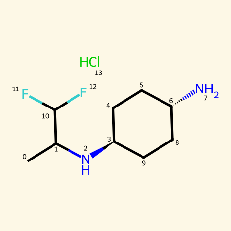 CC(N[C@H]1CC[C@H](N)CC1)C(F)F.Cl